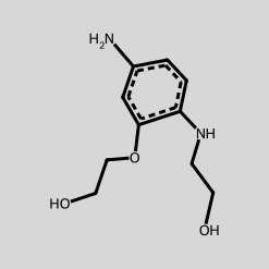 Nc1ccc(NCCO)c(OCCO)c1